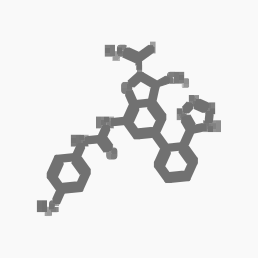 C=C(I)[C@H]1Oc2c(NC(=O)Nc3ccc(C)cc3)cc(-c3ccccc3-c3nnn[nH]3)cc2[C@@H]1C